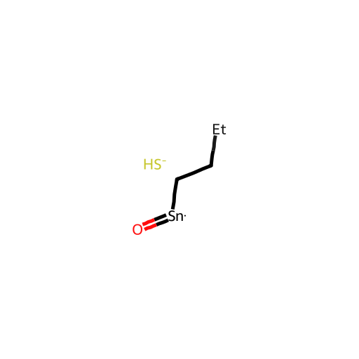 CCC[CH2][Sn]=[O].[SH-]